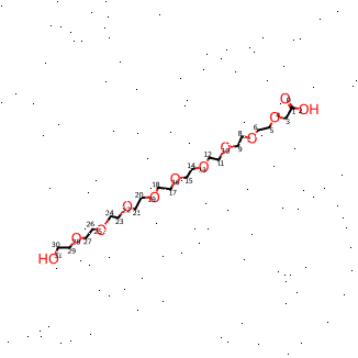 O=C(O)COCCOCCOCCOCCOCCOCCOCCOCCOCCO